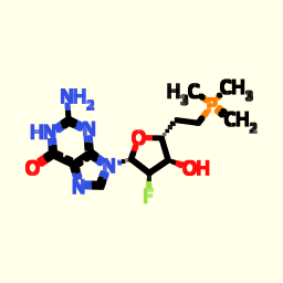 C=P(C)(C)CC[C@H]1O[C@@H](n2cnc3c(=O)[nH]c(N)nc32)[C@H](F)[C@@H]1O